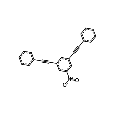 O=[N+]([O-])c1cc(C#Cc2ccccc2)cc(C#Cc2ccccc2)c1